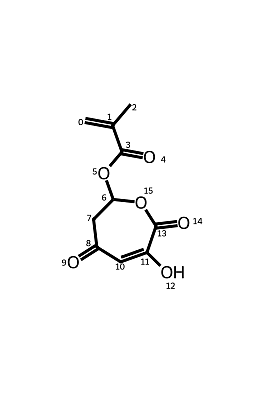 C=C(C)C(=O)OC1CC(=O)C=C(O)C(=O)O1